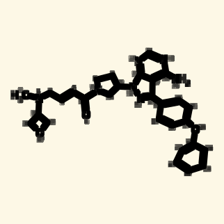 CN(C/C=C/C(=O)N1CCC(n2nc(-c3ccc(Oc4ccccc4)cc3)c3c(N)ncnc32)C1)C1COC1